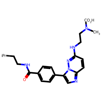 CC(C)CCNC(=O)c1ccc(-c2cnc3ccc(NCCN(C)C(=O)O)nn23)cc1